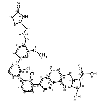 COc1nc(-c2cccc(-c3cccc(-c4ccn5c(=O)c(CN6C[C@H](O)C[C@@H]6C(=O)O)cnc5c4)c3Cl)c2Cl)ccc1CNC[C@H]1CCC(=O)N1